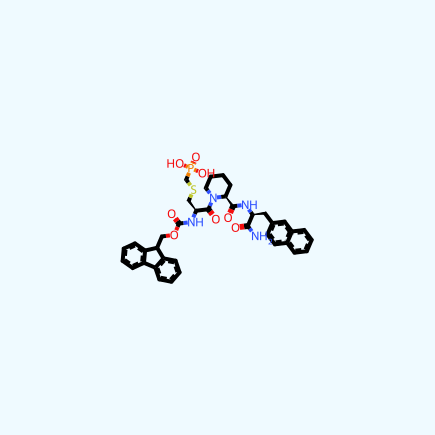 NC(=O)[C@H](Cc1ccc2ccccc2c1)NC(=O)[C@@H]1CCCCN1C(=O)[C@H](CSCP(=O)(O)O)NC(=O)OCC1c2ccccc2-c2ccccc21